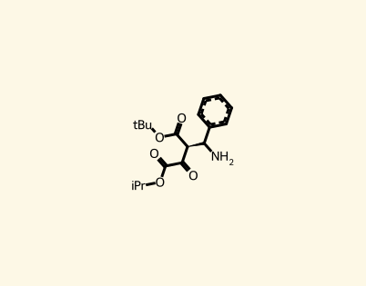 CC(C)OC(=O)C(=O)[C@@H](C(=O)OC(C)(C)C)C(N)c1ccccc1